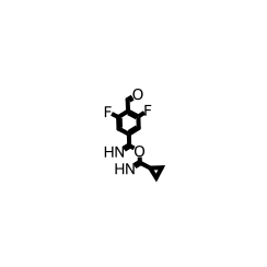 N=C(OC(=N)C1CC1)c1cc(F)c(C=O)c(F)c1